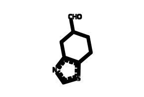 O=CC1CCc2scnc2C1